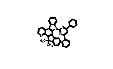 CC1(C)c2ccccc2-c2c1c1ncccc1c1c3ccccc3n(-c3nc(-c4ccccc4)cc(-c4ccccc4)n3)c21